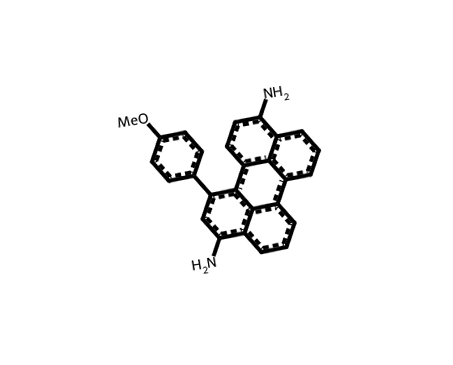 COc1ccc(-c2cc(N)c3cccc4c5cccc6c(N)ccc(c2c34)c65)cc1